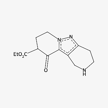 CCOC(=O)C1CCn2nc3c(c2C1=O)CNCC3